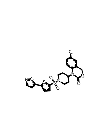 O=C1OCc2cc(Cl)ccc2N1C1CCN(S(=O)(=O)c2ccc(-c3ccno3)s2)CC1